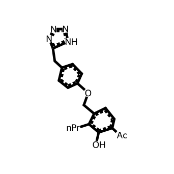 CCCc1c(COc2ccc(Cc3nnn[nH]3)cc2)ccc(C(C)=O)c1O